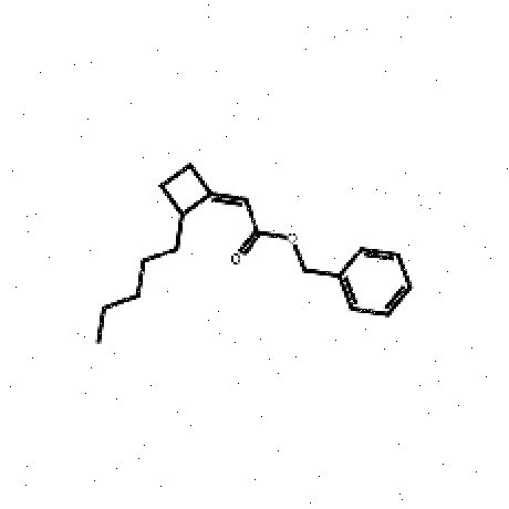 CCCCCC1CCC1=CC(=O)OCc1ccccc1